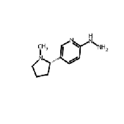 CN1CCC[C@H]1c1ccc(NN)nc1